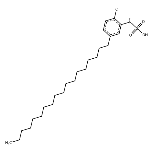 CCCCCCCCCCCCCCCCCCc1c[c]c(Cl)c(NS(=O)(=O)O)c1